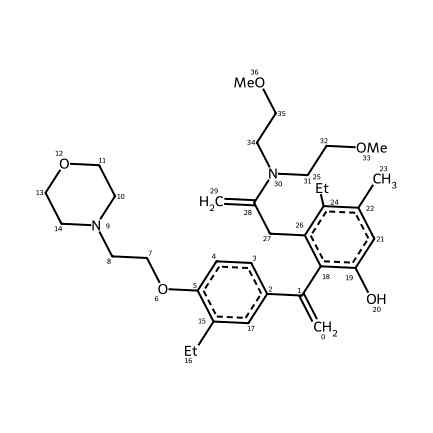 C=C(c1ccc(OCCN2CCOCC2)c(CC)c1)c1c(O)cc(C)c(CC)c1CC(=C)N(CCOC)CCOC